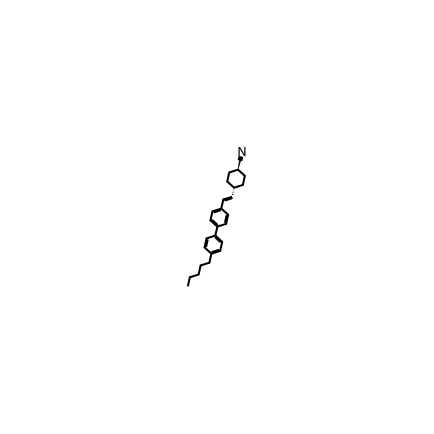 CCCCCc1ccc(-c2ccc(C=C[C@H]3CC[C@H](C#N)CC3)cc2)cc1